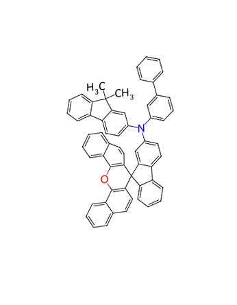 CC1(C)c2ccccc2-c2ccc(N(c3cccc(-c4ccccc4)c3)c3ccc4c(c3)C3(c5ccccc5-4)c4ccc5ccccc5c4Oc4c3ccc3ccccc43)cc21